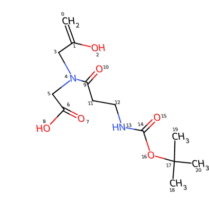 C=C(O)CN(CC(=O)O)C(=O)CCNC(=O)OC(C)(C)C